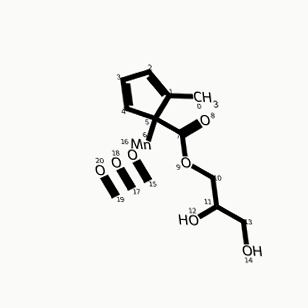 CC1=CC=C[C]1([Mn])C(=O)OCC(O)CO.[C]=O.[C]=O.[C]=O